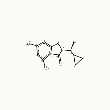 C[C@@H](C1CC1)N1Cc2cc([N+](=O)[O-])cc(C(F)(F)F)c2C1=O